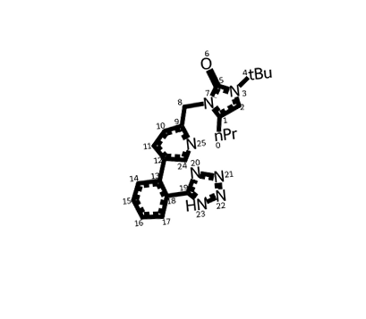 CCCc1cn(C(C)(C)C)c(=O)n1Cc1ccc(-c2ccccc2-c2nnn[nH]2)cn1